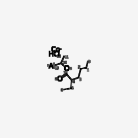 CCCCC(CC)C(=O)O[CH](C)[Al].Cl.[Co]